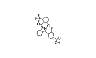 O=C(O)c1ccc(-c2nn(C(=O)c3c(Cl)cccc3C(F)(F)F)c3ccccc23)c(F)c1